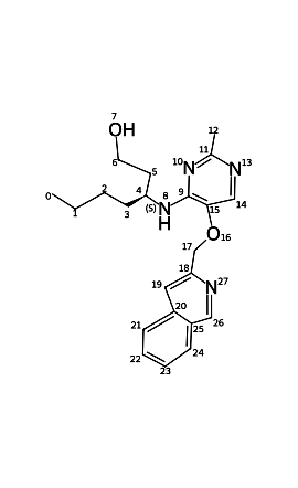 CCCC[C@@H](CCO)Nc1nc(C)ncc1OCc1cc2ccccc2cn1